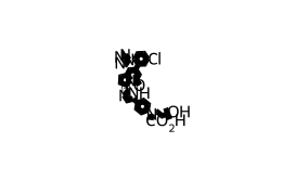 CC(C)(O)CCN(C(=O)O)c1ccc(-c2cnc([C@@H]3CCc4cc(-c5cc(Cl)ccc5-n5cnnn5)cc(=O)n43)[nH]2)cc1